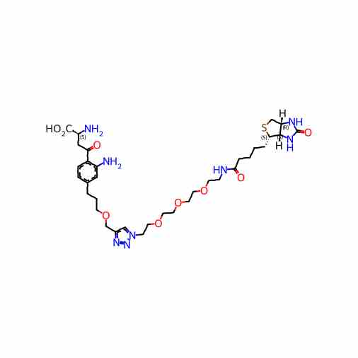 Nc1cc(CCCOCc2cn(CCOCCOCCOCCNC(=O)CCCC[C@@H]3SC[C@@H]4NC(=O)N[C@@H]43)nn2)ccc1C(=O)C[C@H](N)C(=O)O